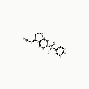 N#CC=C1CCOc2cc(S(=O)(=O)c3ccccc3)ccc21